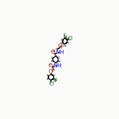 O=C(COc1ccc(Cl)c(F)c1)N[C@H]1CC[C@H](C(=O)NCCOc2ccc(Cl)c(F)c2)CC1